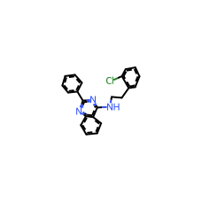 Clc1ccccc1CCNc1nc(-c2ccccc2)nc2ccccc12